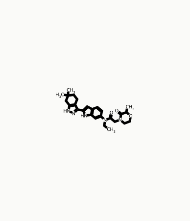 CCN(C(=O)CN1CCOC(C)C1=O)c1ccc2cc(-c3n[nH]c4c3CCC(C)(C)C4)[nH]c2c1